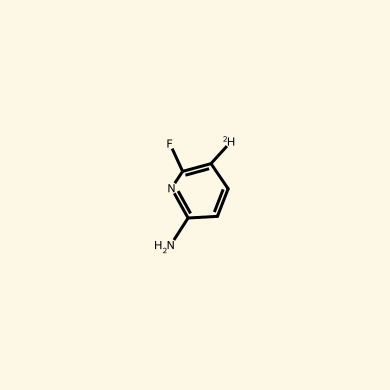 [2H]c1ccc(N)nc1F